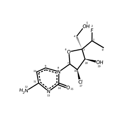 CC(F)[C@]1(CO)OC(n2ccc(N)nc2=O)[C@H](Cl)[C@@H]1O